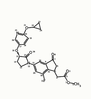 COC(=O)CC1CC(=O)c2cc(N3CC[C@@H](Oc4ccc(OC5CC5)nc4)C3=O)cc(F)c21